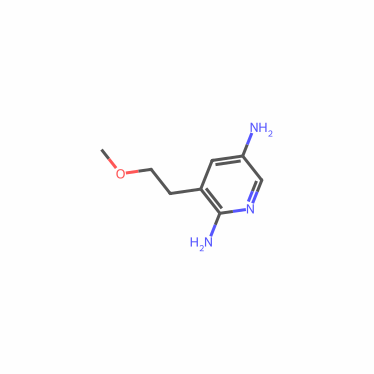 COCCc1cc(N)cnc1N